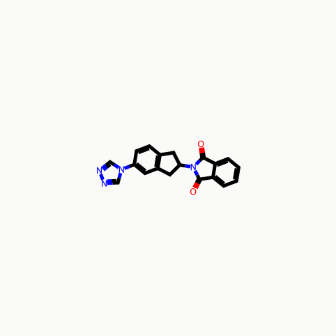 O=C1c2ccccc2C(=O)N1C1Cc2ccc(-n3cnnc3)cc2C1